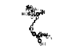 Cc1ncsc1-c1ccc(CNC(=O)[C@@H]2C[C@@H](O)CN2C(=O)[C@@H](NC(=O)C2(F)CC2)C(C)(C)C)c(OCCCCCCCN2CCN(Cc3ccc(-c4cn([C@H]5CC[C@H](O)CC5)c5nc(NCCC(F)(F)F)ncc45)cc3)CC2)c1